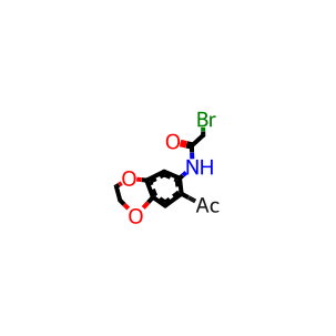 CC(=O)c1cc2c(cc1NC(=O)CBr)OCCO2